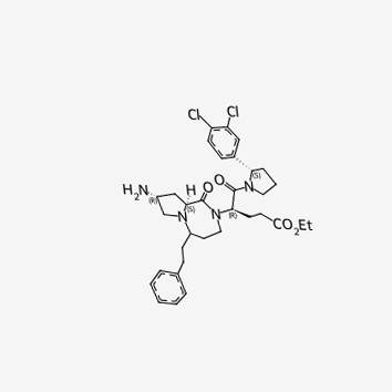 CCOC(=O)CC[C@H](C(=O)N1CCC[C@H]1c1ccc(Cl)c(Cl)c1)N1CCC(CCc2ccccc2)N2C[C@H](N)C[C@H]2C1=O